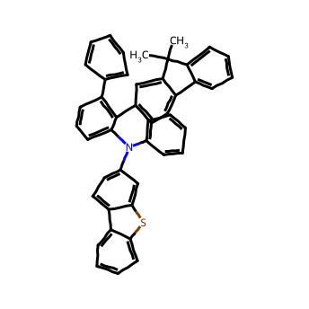 CC1(C)c2ccccc2-c2ccc(-c3c(-c4ccccc4)cccc3N(c3ccccc3)c3ccc4c(c3)sc3ccccc34)cc21